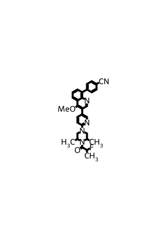 COc1c(-c2ccc(N3CC(C)N(C(=O)C(C)F)C(C)C3)nc2)cnc2c(-c3ccc(C#N)cc3)cccc12